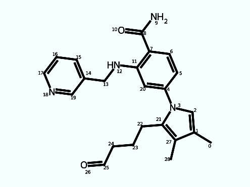 Cc1cn(-c2ccc(C(N)=O)c(NCc3cccnc3)c2)c(CCCC=O)c1C